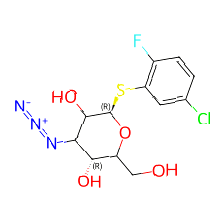 [N-]=[N+]=NC1C(O)[C@@H](Sc2cc(Cl)ccc2F)OC(CO)[C@@H]1O